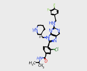 CC(C)NC(=O)c1ccc(-c2nc3cnc(NCc4ccc(F)c(F)c4)nc3n2C[C@@H]2CCCNC2)c(Cl)c1